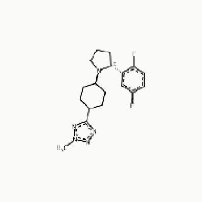 Cn1nnc(C2CC[C](N3CCC[C@@H]3c3cc(F)ccc3F)CC2)n1